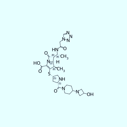 C[C@@H](NC(=O)Cn1cnnn1)[C@H]1C(=O)N2C(C(=O)O)=C(S[C@@H]3CN[C@H](C(=O)N4CCC(N5CC(O)C5)CC4)C3)[C@H](C)[C@H]12